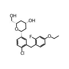 CCOc1ccc(Cc2cc([C@H]3C[C@@H](O)C[C@@H](CO)O3)ccc2Cl)c(F)c1